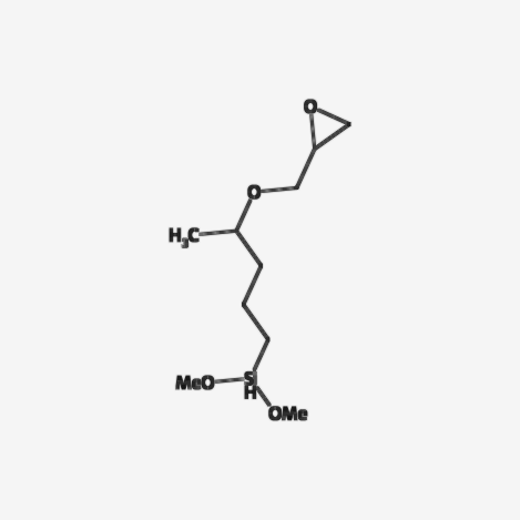 CO[SiH](CCCC(C)OCC1CO1)OC